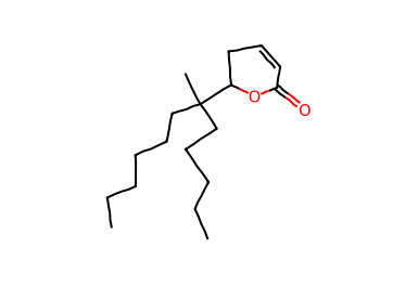 CCCCCCC(C)(CCCCC)C1CC=CC(=O)O1